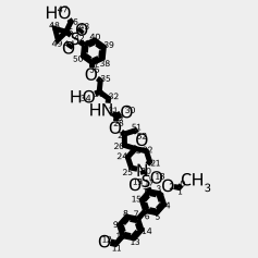 CCOc1ccc(-c2ccc(C=O)cc2)cc1S(=O)(=O)N1CCC2(CC1)CC(OC(=O)NCC(O)COc1cccc(S(=O)(=O)C3(CO)CC3)c1)CO2